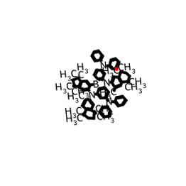 Cc1cc2c(cc1N1c3cc(N(c4ccccc4)c4ccccc4)ccc3B3c4cc5c(cc4N(c4cc6c(cc4C)C(C)(C)CCC6(C)C)c4cc(N(c6ccccc6)c6ccccc6)cc1c43)C(C)(C)CC5(C)C)C(C)(C)CCC2(C)C